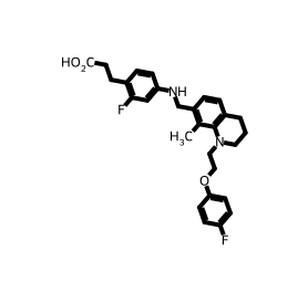 Cc1c(CNc2ccc(CCC(=O)O)c(F)c2)ccc2c1N(CCOc1ccc(F)cc1)CCC2